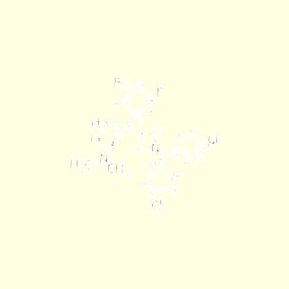 CC(OC(=O)N(C)C)C(=C1CN(C(c2ccc(Cl)cc2)c2ccc(Cl)cc2)C1)c1cc(F)cc(F)c1